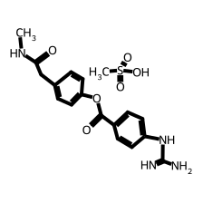 CNC(=O)Cc1ccc(OC(=O)c2ccc(NC(=N)N)cc2)cc1.CS(=O)(=O)O